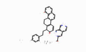 COC(=O)c1cc2ccncc2cn1.COc1ccc(CCC2C(=O)C=CC3=C2CCc2c3ccc3cccc(O)c23)c(OC)c1